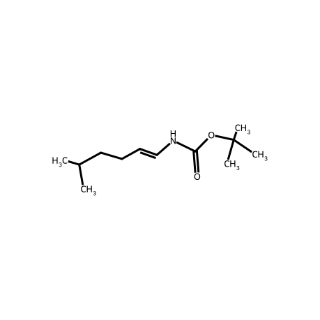 CC(C)CCC=CNC(=O)OC(C)(C)C